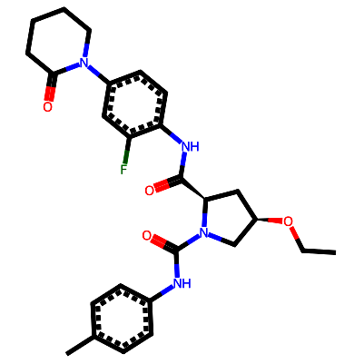 CCO[C@@H]1C[C@H](C(=O)Nc2ccc(N3CCCCC3=O)cc2F)N(C(=O)Nc2ccc(C)cc2)C1